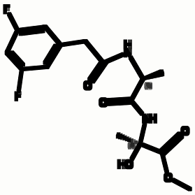 COC(=O)[C@@](C)(O)NC(=O)[C@H](C)NC(=O)Cc1cc(F)cc(F)c1